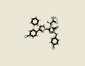 C[C@@H](C(N)=O)n1c(N2C[C@@H](c3ccccc3)C(c3ccc(Cl)cc3)=N2)nn(Cc2ccc(Cl)cc2)c1=O